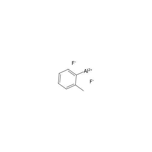 Cc1cccc[c]1[Al+2].[F-].[F-]